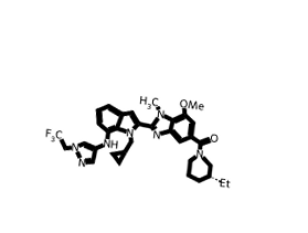 CC[C@@H]1CCCN(C(=O)c2cc(OC)c3c(c2)nc(-c2cc4cccc(Nc5cnn(CC(F)(F)F)c5)c4n2CC2CC2)n3C)C1